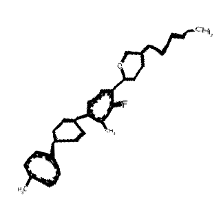 CCCCCC1CCC(c2ccc(C3CCC(c4ccc(C)cc4)CC3)c(C)c2F)OC1